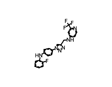 Fc1ccccc1Nc1ccc(-n2cc(CNc3ccnc(C(F)(F)F)c3)nn2)cc1